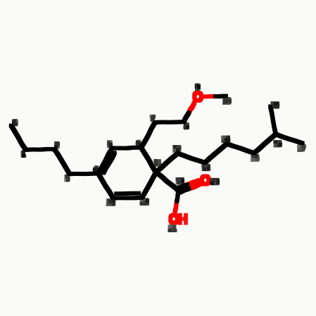 CCCCC1=CC(CCOC)C(CCCCC(C)C)(C(=O)O)C=C1